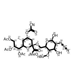 CCCCO[C@H]1C(CO[C@]2(C(=O)OC)C[C@@H](OC(=O)C#N)[C@@H](C)C([C@H](OC(C)=O)[C@@H](COC(C)=O)OC(C)=O)O2)O[C@@H](O)[C@@H](N=[N+]=[N-])C1O